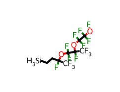 FOC(F)(F)C(F)(F)OC(F)(C(F)(F)F)C(F)(F)OC(F)(CC[SiH3])C(F)(F)F